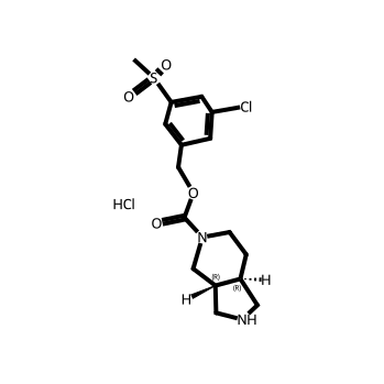 CS(=O)(=O)c1cc(Cl)cc(COC(=O)N2CC[C@H]3CNC[C@@H]3C2)c1.Cl